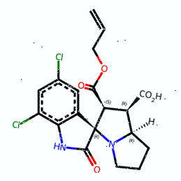 C=CCOC(=O)[C@H]1[C@@H](C(=O)O)[C@H]2CCCN2[C@]12C(=O)Nc1c(Cl)cc(Cl)cc12